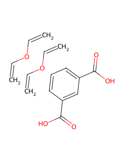 C=COC=C.C=COC=C.O=C(O)c1cccc(C(=O)O)c1